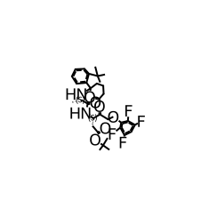 C[C@H](NC1(c2ccccc2C(C)(C)C)CCCCO1)C(=O)N[C@@H](CC(=O)OC(C)(C)C)C(=O)COc1c(F)c(F)cc(F)c1F